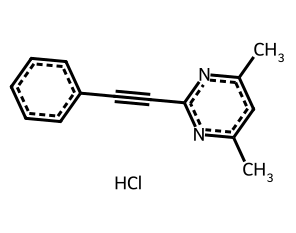 Cc1cc(C)nc(C#Cc2ccccc2)n1.Cl